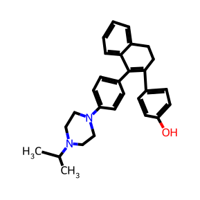 CC(C)N1CCN(c2ccc(C3=C(c4ccc(O)cc4)CCc4ccccc43)cc2)CC1